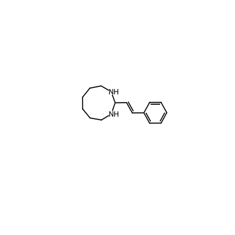 C(=C\C1NCCCCCCN1)/c1ccccc1